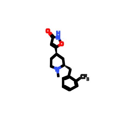 CN1CC[C@H](c2cc(=O)[nH]o2)C[C@@H]1Cc1ccccc1C(F)(F)F